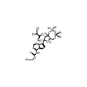 CCCCCOC(=O)Nc1ncnn2c([C@]3(C#N)O[C@@H]4CO[Si](C(C)C)(C(C)C)O[Si](C(C)C)(C(C)C)O[C@H]4[C@H]3OC(=O)C(CC)CC)ccc12